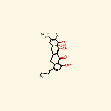 CC(=O)C1=C(C)CC2CC3Cc4c(CCCC(C)C)ccc(O)c4C(=O)C3=C(O)C2(O)C1=O